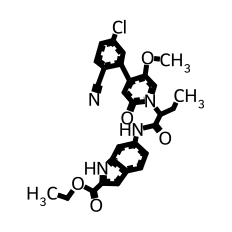 CCOC(=O)c1cc2ccc(NC(=O)C(CC)n3cc(OC)c(-c4cc(Cl)ccc4C#N)cc3=O)cc2[nH]1